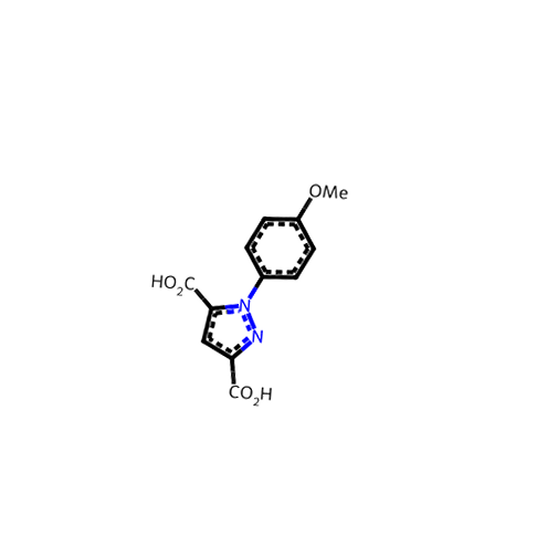 COc1ccc(-n2nc(C(=O)O)cc2C(=O)O)cc1